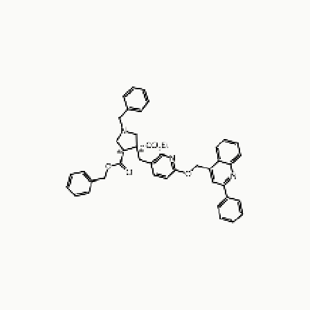 CCOC(=O)[C@@]1(Cc2ccc(OCc3cc(-c4ccccc4)nc4ccccc34)nc2)CN(Cc2ccccc2)C[C@@H]1C(=O)OCc1ccccc1